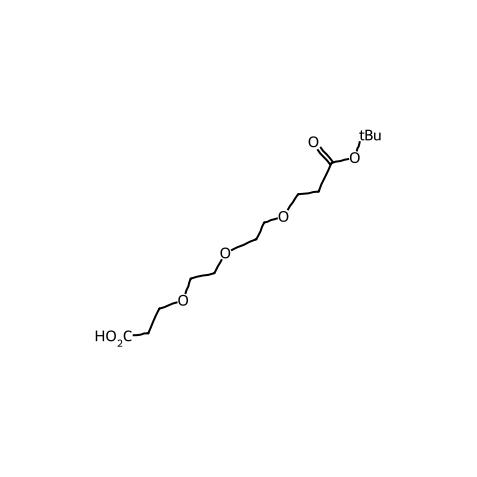 CC(C)(C)OC(=O)CCOCCOCCOCCC(=O)O